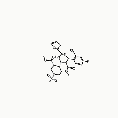 COC(=O)C1=C([C@@H]2CCN(S(C)(=O)=O)C[C@@H]2C(=O)OC)NC(c2nccs2)=NC1c1ccc(F)cc1Cl